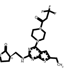 CCc1cc2c(N3CCN(C(=O)CC(F)(F)F)CC3)nc(NC[C@H]3CCOC3=O)nc2s1